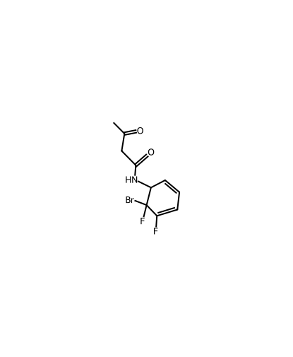 CC(=O)CC(=O)NC1C=CC=C(F)C1(F)Br